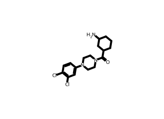 NC1CCCC(C(=O)N2CCN(c3ccc(Cl)c(Cl)c3)CC2)C1